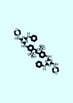 O=S(=O)(O)c1cc(Nc2nc(Nc3ccccc3)nc(NN3CCOCC3)n2)ccc1C=Cc1ccc(Nc2nc(Nc3ccccc3)nc(NN3CCOCC3)n2)cc1S(=O)(=O)O